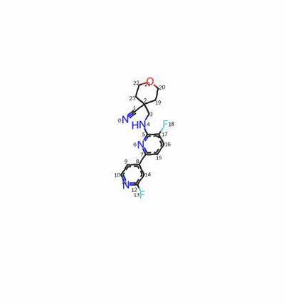 N#CC1(CNc2nc(-c3ccnc(F)c3)ccc2F)CCOCC1